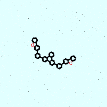 c1cc(-c2ccc3c(c2)oc2ccccc23)cc(-c2ccc3c4ccc(-c5cccc(-c6ccc7c(c6)oc6ccccc67)c5)cc4c4ccccc4c3c2)c1